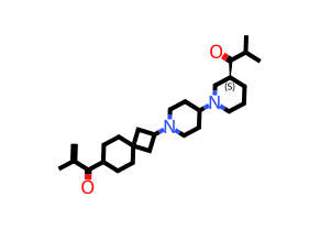 C=C(C)C(=O)C1CCC2(CC1)CC(N1CCC(N3CCC[C@H](C(=O)C(C)C)C3)CC1)C2